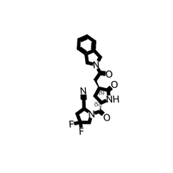 N#CC1CC(F)(F)CN1C(=O)[C@@H]1C[C@@H](CC(=O)N2Cc3ccccc3C2)C(=O)N1